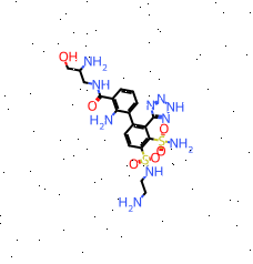 NCCNS(=O)(=O)c1ccc(-c2cccc(C(=O)NCC(N)CO)c2N)c(-c2nn[nH]n2)c1S(N)(=O)=O